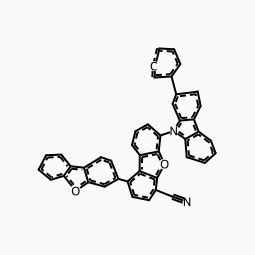 N#Cc1ccc(-c2ccc3c(c2)oc2ccccc23)c2c1oc1c(-n3c4ccccc4c4ccc(-c5ccccc5)cc43)cccc12